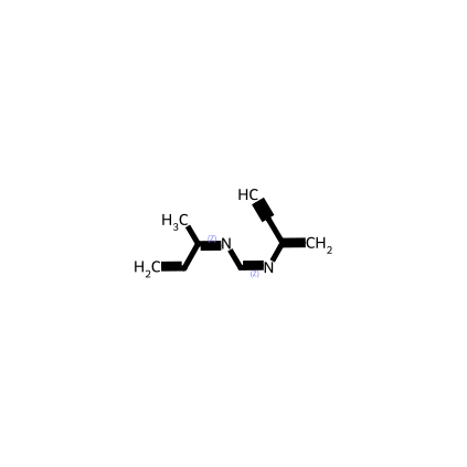 C#CC(=C)/N=C\N=C(\C)C=C